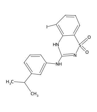 CC(C)c1cccc(NC2=NS(=O)(=O)c3cccc(I)c3N2)c1